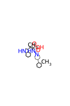 Cc1ccccc1C1CCN(C(=O)N[C@@H](C(=O)O)[C@@H](C)c2c[nH]c3ccccc23)CC1